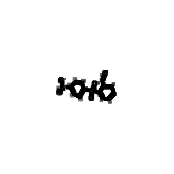 O=Cc1ccccc1S(=O)(=O)c1ccc([N+](=O)[O-])cc1